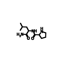 CC(C)CC(NC(=O)C1CCCN1)C(N)=O